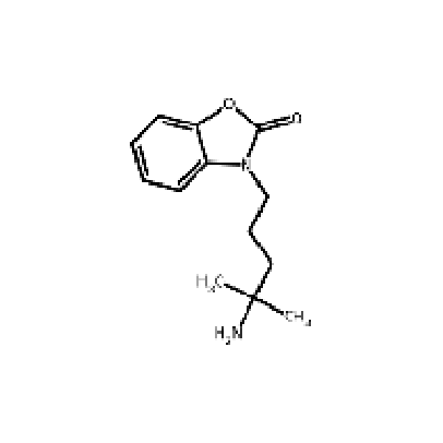 CC(C)(N)CCCn1c(=O)oc2ccccc21